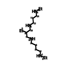 CCNCCCCNCC(CC)CNCCCNCC